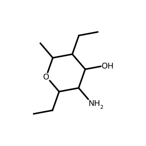 CCC1OC(C)C(CC)C(O)C1N